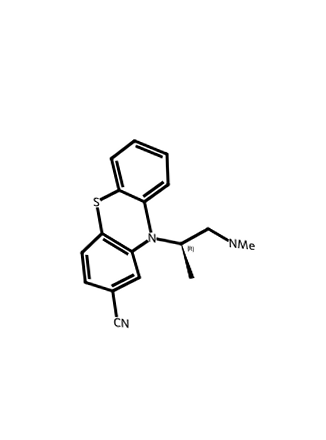 CNC[C@@H](C)N1c2ccccc2Sc2ccc(C#N)cc21